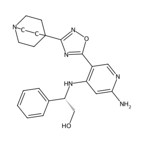 Nc1cc(N[C@H](CO)c2ccccc2)c(-c2nc(C34CCN(CC3)CC4)no2)cn1